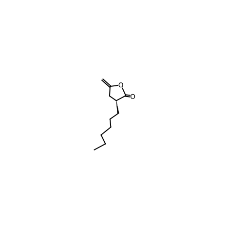 C=C1C[C@H](CCCCCC)C(=O)O1